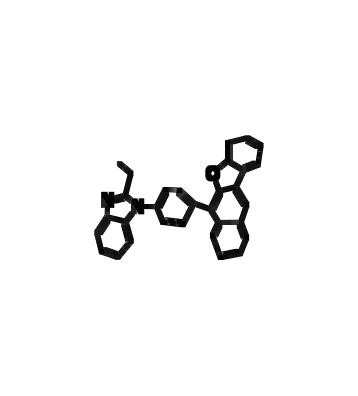 CCc1nc2ccccc2n1-c1ccc(-c2c3ccccc3cc3c2oc2ccccc23)cc1